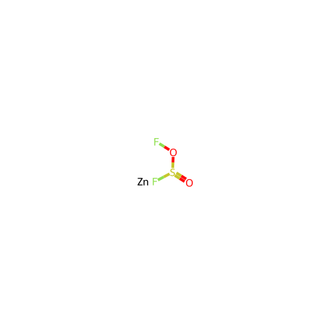 O=S(F)OF.[Zn]